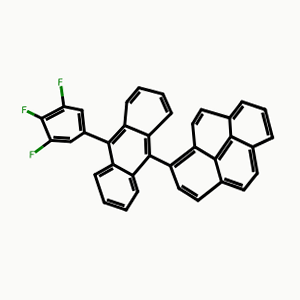 Fc1cc(-c2c3ccccc3c(-c3ccc4ccc5cccc6ccc3c4c56)c3ccccc23)cc(F)c1F